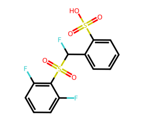 O=S(=O)(O)c1ccccc1C(F)S(=O)(=O)c1c(F)cccc1F